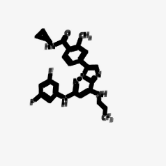 Cc1cc(-c2cnc3c(NCCC(F)(F)F)cc(Nc4cc(F)cc(F)c4)nn23)ccc1C(=O)NC1CC1